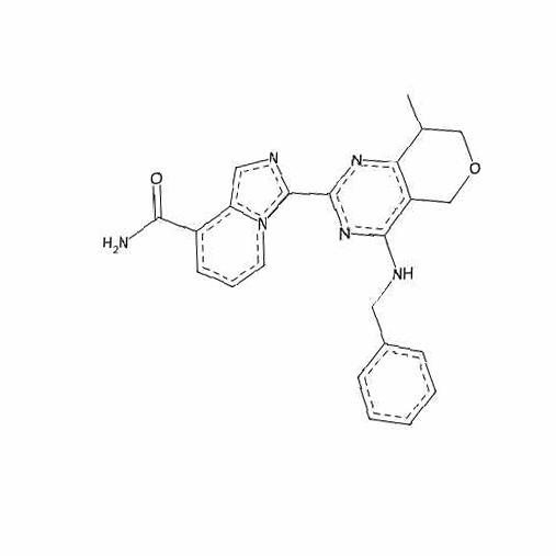 CC1COCc2c(NCc3ccccc3)nc(-c3ncc4c(C(N)=O)cccn34)nc21